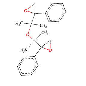 CC(C)(OC(C)(C)C1(c2ccccc2)CO1)C1(c2ccccc2)CO1